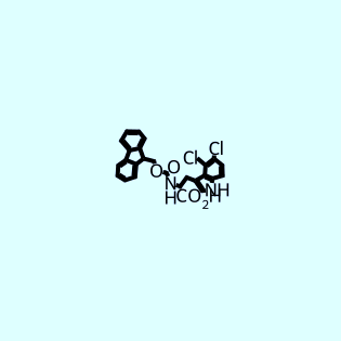 O=C(N[C@@H](Cc1c[nH]c2ccc(Cl)c(Cl)c12)C(=O)O)OCC1c2ccccc2-c2ccccc21